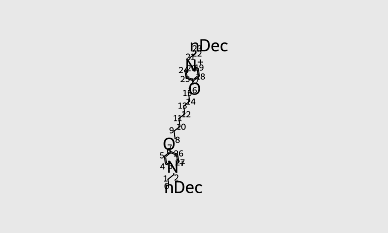 CCCCCCCCCCCC[n+]1ccc(OCCCCCCCCOc2cc[n+](CCCCCCCCCCCC)cc2)cc1